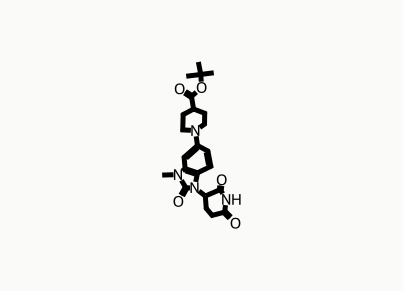 Cn1c(=O)n(C2CCC(=O)NC2=O)c2ccc(N3CCC(C(=O)OC(C)(C)C)CC3)cc21